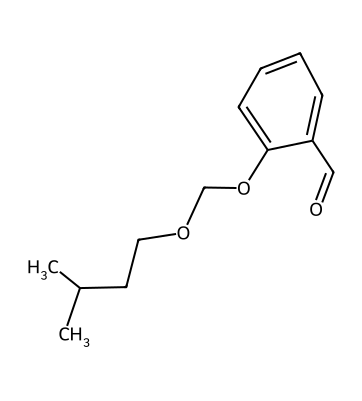 CC(C)CCOCOc1ccccc1C=O